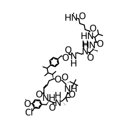 CNC(=O)CCCC(=O)NC(C(=O)N[C@@H](C)C(=O)NCCNC(=O)OCc1ccc(C(C)C(C)C(C)[C@@H]2C/C=C/C(=O)N[C@H](Cc3ccc(OC)c(Cl)c3)C(=O)N[C@@H](C)C(C)(C)C(=O)N[C@@H](CC(C)(C)C)C(=O)O2)cc1)C(C)C